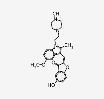 COc1ccc2c(c1)c(C=C1Oc3ccc(O)cc3C1=O)c(C)n2CCN1CCN(C)CC1